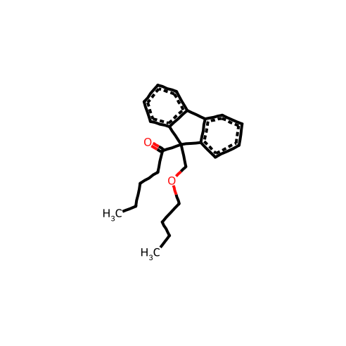 CCCCOCC1(C(=O)CCCC)c2ccccc2-c2ccccc21